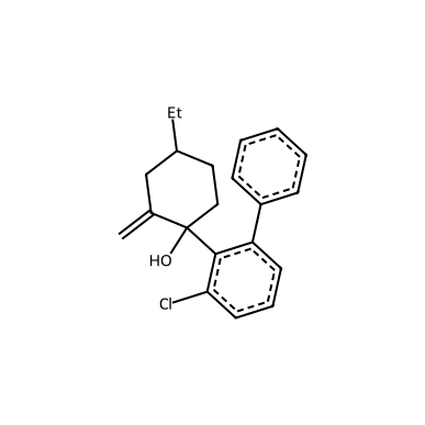 C=C1CC(CC)CCC1(O)c1c(Cl)cccc1-c1ccccc1